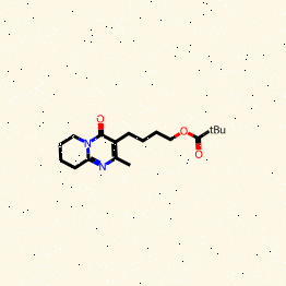 Cc1nc2n(c(=O)c1CCCCOC(=O)C(C)(C)C)CCCC2